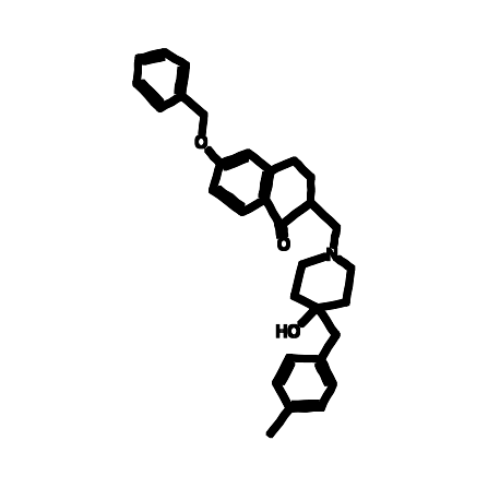 Cc1ccc(CC2(O)CCN(CC3CCc4cc(OCc5ccccc5)ccc4C3=O)CC2)cc1